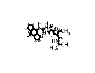 Cc1oc([S@](=N)(=O)NC(=O)Nc2c3c(c(F)c4c2CCC4)CCC3)cc1CNC(C)C